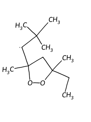 CCC1(C)CC(C)([CH]C(C)(C)C)OO1